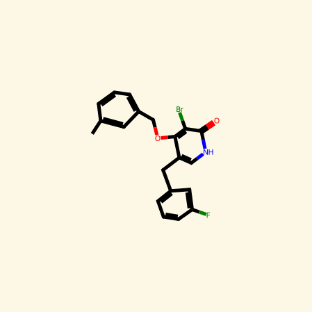 Cc1cccc(COc2c(Cc3cccc(F)c3)c[nH]c(=O)c2Br)c1